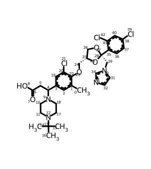 Cc1cc(C(CC(=O)O)N2CCN(C(C)(C)C)CC2)cc(Cl)c1OC[C@@H]1CO[C@@](Cn2ccnc2)(c2ccc(Cl)cc2Cl)O1